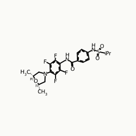 CC(C)S(=O)(=O)Nc1ccc(C(=O)Nc2c(F)c(F)c(N3C[C@@H](C)O[C@@H](C)C3)c(F)c2F)cc1